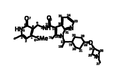 CSc1cc(C)[nH]c(=O)c1CNC(=O)c1c(C)n(C(C)C2CCC(OC3CN(C)C3)CC2)c2ncccc12